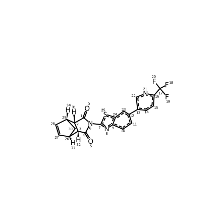 O=C1[C@@H]2[C@H](C(=O)N1c1nc3ccc(-c4ccc(C(F)(F)F)nc4)cc3s1)[C@@H]1C=C[C@H]2C1